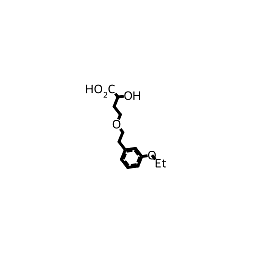 CCOc1cccc(CCOCCC(O)C(=O)O)c1